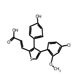 COc1cc(Cl)ccc1-c1csc(C=CC(=O)O)c1-c1ccc(O)cc1